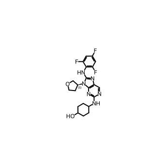 OC1CCC(Nc2ncc3nc(Nc4c(F)cc(F)cc4F)n([C@H]4CCOC4)c3n2)CC1